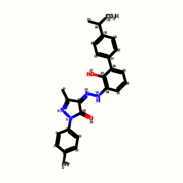 CCCc1ccc(N2N=C(C)/C(=N/Nc3cccc(-c4ccc(C(C)C(=O)O)cc4)c3O)C2=O)cc1